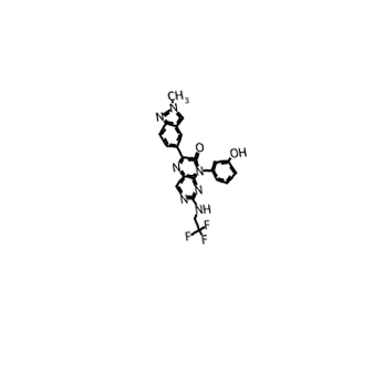 Cn1cc2cc(-c3nc4cnc(NCC(F)(F)F)nc4n(-c4cccc(O)c4)c3=O)ccc2n1